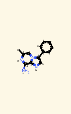 Cc1cn2c(-c3ccccc3)cnc2c(N)n1